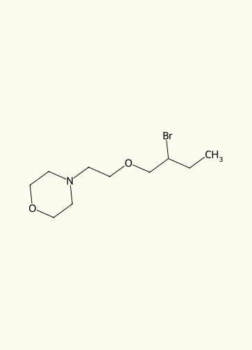 CCC(Br)COCCN1CCOCC1